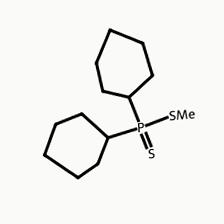 CSP(=S)(C1CCCCC1)C1CCCCC1